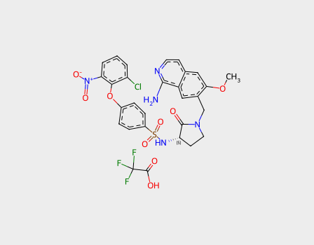 COc1cc2ccnc(N)c2cc1CN1CC[C@H](NS(=O)(=O)c2ccc(Oc3c(Cl)cccc3[N+](=O)[O-])cc2)C1=O.O=C(O)C(F)(F)F